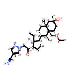 CCOC[C@]12CC[C@@](C)(O)C[C@H]1CC[C@@H]([C@@H]1CC[C@H](C(=O)Cn3cc(C#N)cn3)[C@@]1(C)CC)[C@@H]2C